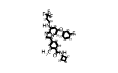 Cc1cc(-c2cnc3c(NCCC(F)(F)F)cc(Oc4cccc(F)c4)cn23)ccc1C(=O)NC1CCC1